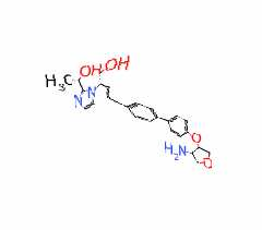 C[C@H](O)c1nccn1[C@@H](/C=C/c1ccc(-c2ccc(O[C@@H]3COC[C@H]3N)cc2)cc1)CO